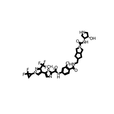 Cn1c(-c2cn(C3CC3(F)F)nc2C(F)(F)F)cnc1C(=O)Nc1ccc(C(=O)NCC2CC3CN(C(=O)N[C@H]4CNC[C@@H]4O)CC3C2)c(Cl)c1